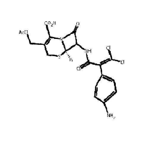 CC(=O)OCC1=C(C(=O)O)N2C(=O)C(NC(=O)C(=C(Cl)Cl)c3ccc(N)cc3)[C@H]2SC1